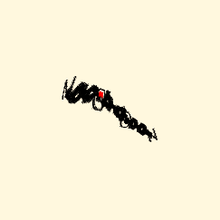 Cc1cc(-c2cc(C)c(OC(=O)c3ccc(-c4ccc(C#N)cc4)cc3)c(C)c2)cc(C)c1OC(=O)c1ccc(-c2ccc(C#N)cc2)cc1